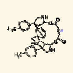 Cc1ccc(C23CNC4OC(=O)/C=C\C(=O)OC5NCC6(c7ccc(C)cc7)C5C5C=CC6C56C(C=CC26)C43)cc1